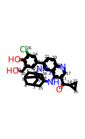 NC12CC3CC(C1)CC(Nc1c(C(=O)C4CC4)cnc4ccc(-c5cc(Cl)c(O)c(CO)c5)cc14)(C3)C2